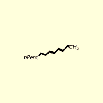 [CH2]CCCCCCC=CC=CC=C